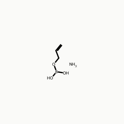 C=CCOB(O)O.N